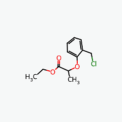 CCOC(=O)C(C)Oc1ccccc1CCl